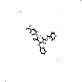 O=C(N[C@@H](Cc1ccccc1)C(=O)Oc1ccc([N+](=O)[O-])cc1)OCc1ccccc1